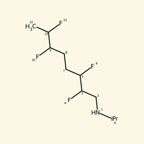 CC(C)NCC(F)C(F)CCC(F)C(C)F